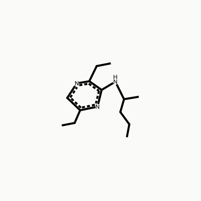 CCCC(C)Nc1nc(CC)cnc1CC